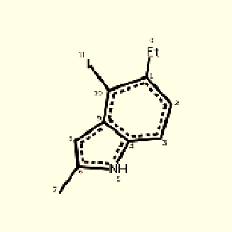 CCc1ccc2[nH]c(C)cc2c1I